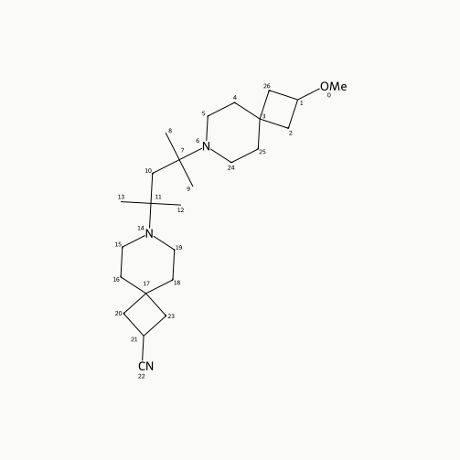 COC1CC2(CCN(C(C)(C)CC(C)(C)N3CCC4(CC3)CC(C#N)C4)CC2)C1